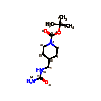 CC(C)(C)OC(=O)N1CCC(CNC(N)=O)CC1